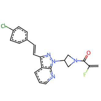 C=C(F)C(=O)N1CC(n2nc(/C=C/c3ccc(Cl)cc3)c3cccnc32)C1